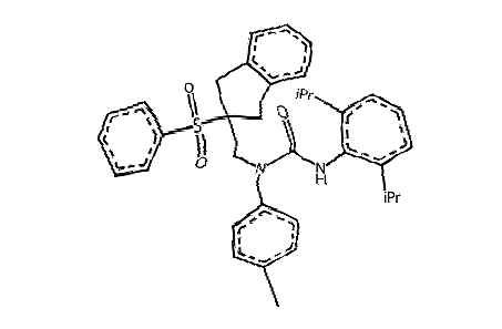 Cc1ccc(N(CC2(S(=O)(=O)c3ccccc3)Cc3ccccc3C2)C(=O)Nc2c(C(C)C)cccc2C(C)C)cc1